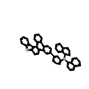 c1cc(-c2ccc3c4ccccc4c4c(ccc5oc6ccccc6c54)c3c2)cc(N(c2cccc3ccccc23)c2cccc3ccccc23)c1